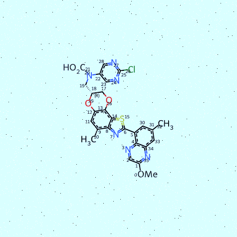 COc1cnc2c(-c3nc4c(C)cc5c(c4s3)OC[C@@H](CN(C(=O)O)c3cnc(Cl)nc3)O5)cc(C)cc2n1